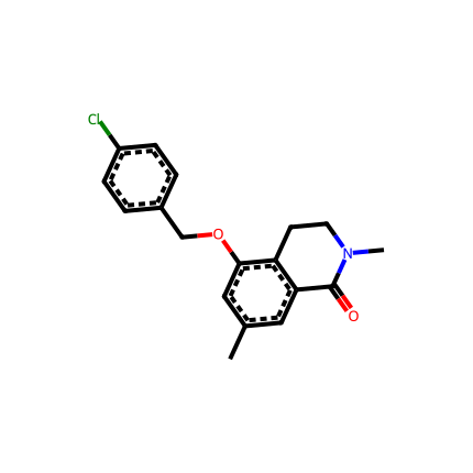 Cc1cc(OCc2ccc(Cl)cc2)c2c(c1)C(=O)N(C)CC2